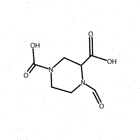 O=CN1CCN(C(=O)O)CC1C(=O)O